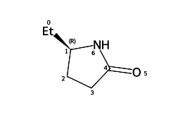 CC[C@@H]1CCC(=O)N1